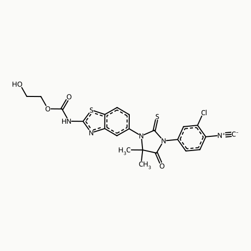 [C-]#[N+]c1ccc(N2C(=O)C(C)(C)N(c3ccc4sc(NC(=O)OCCO)nc4c3)C2=S)cc1Cl